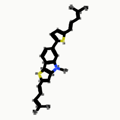 CCCn1c2cc(-c3ccc(/C=C/C=C(C#N)C#N)s3)ccc2c2sc(/C=C/C=C(C#N)C#N)cc21